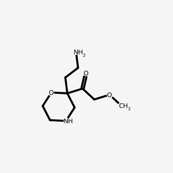 COCC(=O)C1(CCN)CNCCO1